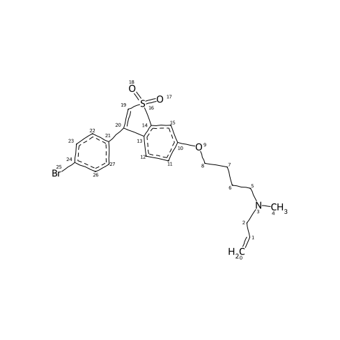 C=CCN(C)CCCCOc1ccc2c(c1)S(=O)(=O)C=C2c1ccc(Br)cc1